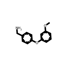 COc1cccc(Oc2ccc(CN)cc2)c1